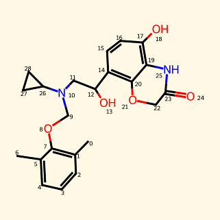 Cc1cccc(C)c1OCN(CC(O)c1ccc(O)c2c1OCC(=O)N2)C1CC1